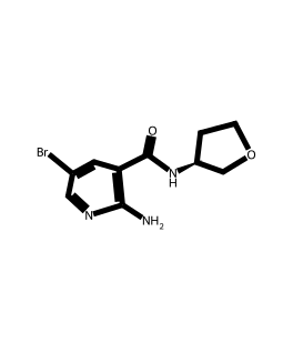 Nc1ncc(Br)cc1C(=O)N[C@H]1CCOC1